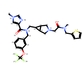 CN(Cc1cccs1)C(=O)CN1CC2C(C1)C2CN(Cc1cccc(OC(F)(F)F)c1)C(=O)c1cn(C)cn1